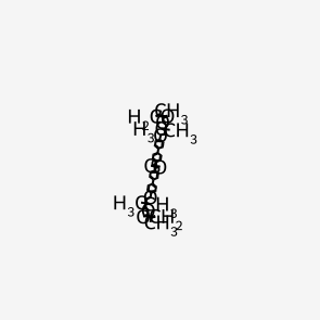 C=C(C)C(=O)OCC(C)(C)COc1ccc(-c2ccc(S(=O)(=O)c3ccc(-c4ccc(OCC(C)(C)COC(=O)C(=C)C)cc4)cc3)cc2)cc1